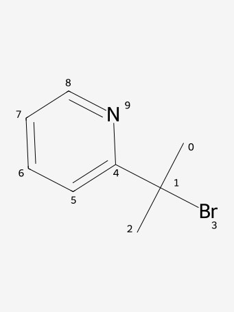 CC(C)(Br)c1ccccn1